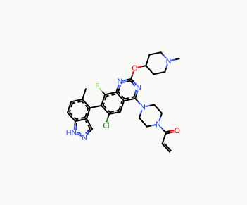 C=CC(=O)N1CCN(c2nc(OC3CCN(C)CC3)nc3c(F)c(-c4c(C)ccc5[nH]ncc45)c(Cl)cc23)CC1